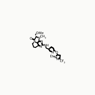 CCn1nc(C(F)(F)F)cc1Oc1ccc(CNc2nc3c4c(n2)N(C)[C@@H](COC)C(=O)N4CCC3)cn1